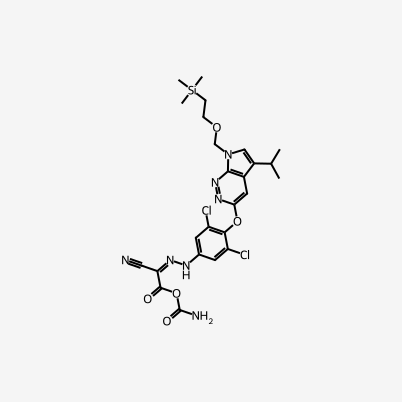 CC(C)c1cn(COCC[Si](C)(C)C)c2nnc(Oc3c(Cl)cc(NN=C(C#N)C(=O)OC(N)=O)cc3Cl)cc12